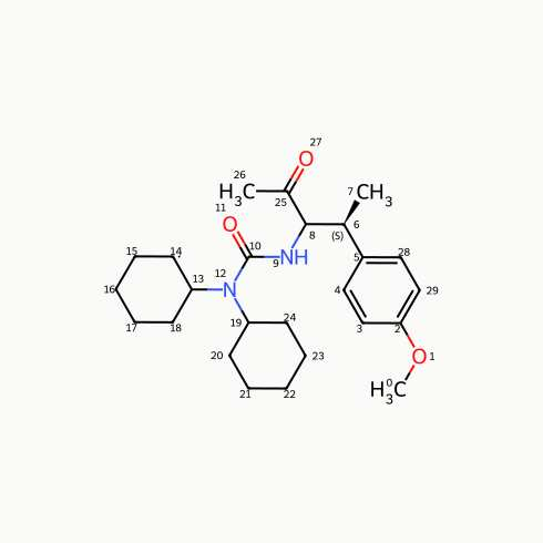 COc1ccc([C@H](C)C(NC(=O)N(C2[CH]CCCC2)C2CCCCC2)C(C)=O)cc1